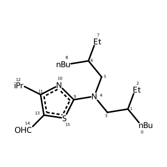 CCCCC(CC)CN(CC(CC)CCCC)c1nc(C(C)C)c(C=O)s1